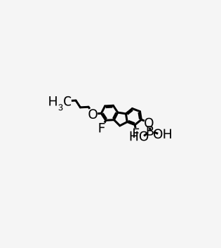 CCCCOc1ccc2c(c1F)Cc1c-2ccc(OB(O)O)c1F